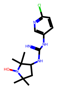 CC1(C)CC(NC(=N)Nc2ccc(Cl)nc2)C(C)(C)N1O